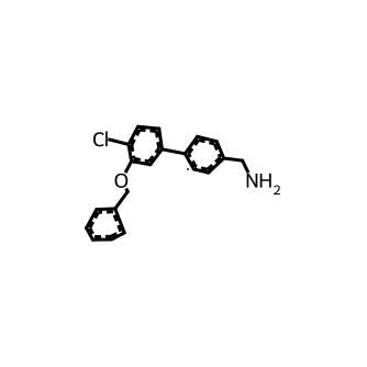 NCc1c[c]c(-c2ccc(Cl)c(OCc3ccccc3)c2)cc1